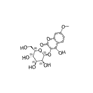 COc1ccc2c(O)c(O[C@@H]3O[C@H](CO)[C@@H](O)[C@H](O)[C@@H]3O)c(=O)oc2c1